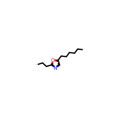 [CH2]CCc1ncc(CCCCCC)o1